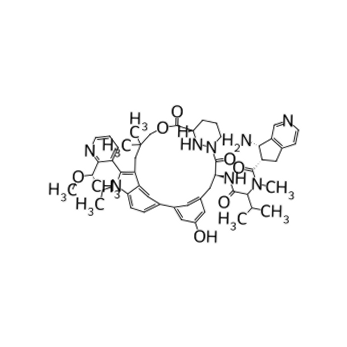 CCn1c(-c2cccnc2[C@H](C)OC)c2c3cc(ccc31)-c1cc(O)cc(c1)C[C@H](NC(=O)C(C(C)C)N(C)C(=O)[C@H]1Cc3ccncc3[C@H]1N)C(=O)N1CCC[C@H](N1)C(=O)OCC(C)(C)C2